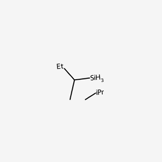 CC(C)C.CCC(C)[SiH3]